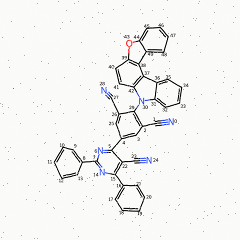 N#Cc1cc(-c2nc(-c3ccccc3)nc(-c3ccccc3)c2C#N)cc(C#N)c1-n1c2ccccc2c2c3c(ccc21)oc1ccccc13